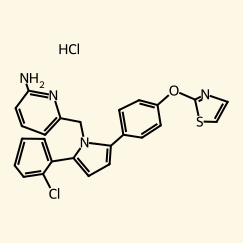 Cl.Nc1cccc(Cn2c(-c3ccc(Oc4nccs4)cc3)ccc2-c2ccccc2Cl)n1